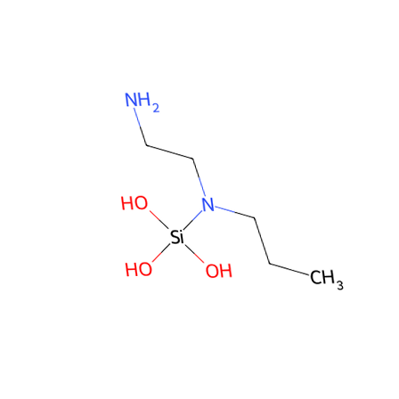 CCCN(CCN)[Si](O)(O)O